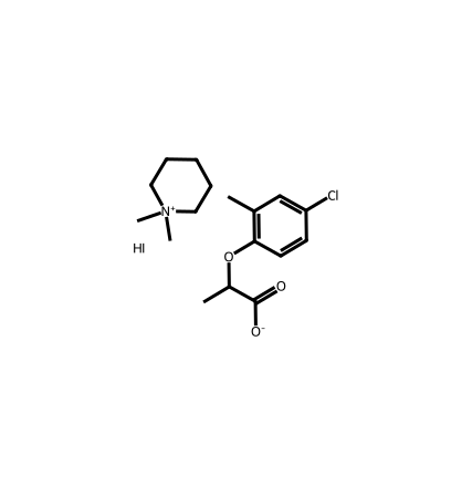 C[N+]1(C)CCCCC1.Cc1cc(Cl)ccc1OC(C)C(=O)[O-].I